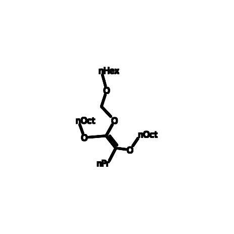 CCCCCCCCOC(CCC)=C(OCCCCCCCC)OCOCCCCCC